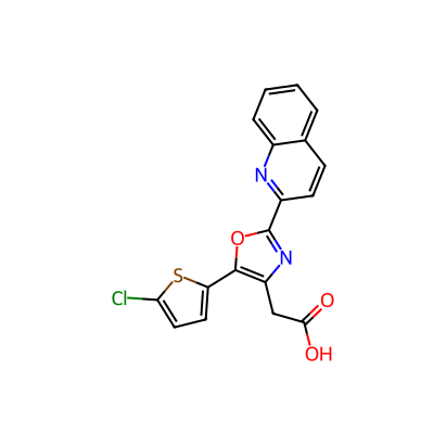 O=C(O)Cc1nc(-c2ccc3ccccc3n2)oc1-c1ccc(Cl)s1